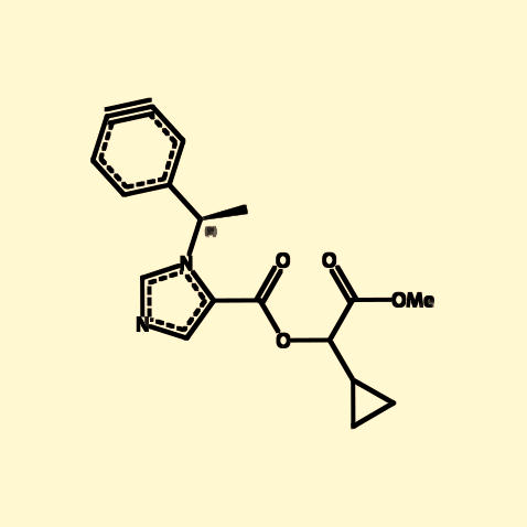 COC(=O)C(OC(=O)c1cncn1[C@H](C)c1cc#ccc1)C1CC1